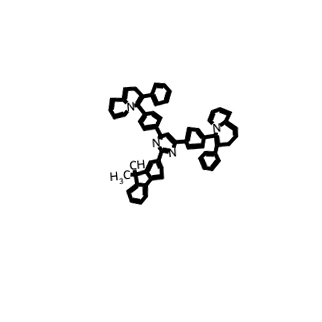 CC1(C)c2ccccc2-c2ccc(-c3nc(-c4ccc(C5=C(c6ccccc6)CC=C=C6C=CC=CN65)cc4)cc(-c4ccc(C5=C(c6ccccc6)CC=C6C=CC=CN65)cc4)n3)cc21